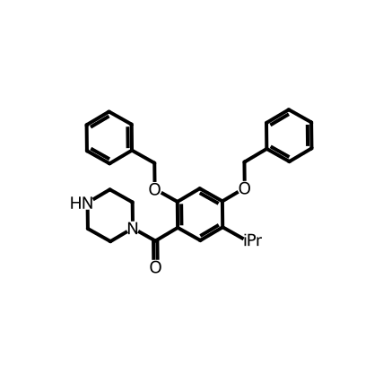 CC(C)c1cc(C(=O)N2CCNCC2)c(OCc2ccccc2)cc1OCc1ccccc1